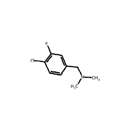 CN(C)Cc1ccc(Cl)c(F)c1